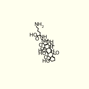 CN(C)[C@@H]1C(O)=C(C(=O)NCNC(CCCCN)C(=O)O)C(=O)[C@@]2(O)C(O)=C3C(=O)C4=C(O)CCC=C4[C@@](C)(C=O)[C@H]3C[C@@H]12